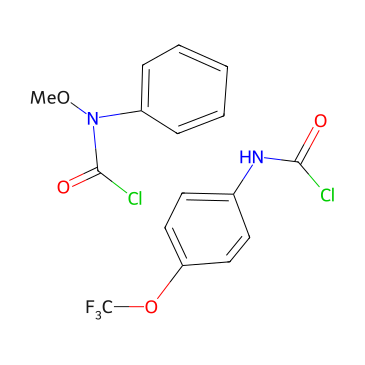 CON(C(=O)Cl)c1ccccc1.O=C(Cl)Nc1ccc(OC(F)(F)F)cc1